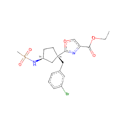 CCOC(=O)c1coc([C@@]2(Cc3cccc(Br)c3)CC[C@H](NS(C)(=O)=O)C2)n1